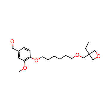 CCC1(COCCCCCCOc2ccc(C=O)cc2OC)COC1